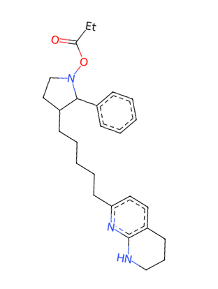 CCC(=O)ON1CCC(CCCCCc2ccc3c(n2)NCCC3)C1c1ccccc1